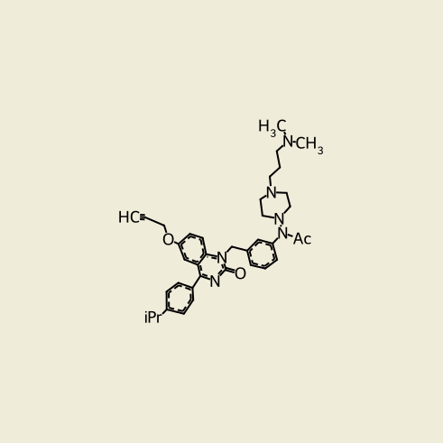 C#CCOc1ccc2c(c1)c(-c1ccc(C(C)C)cc1)nc(=O)n2Cc1cccc(N(C(C)=O)N2CCN(CCCN(C)C)CC2)c1